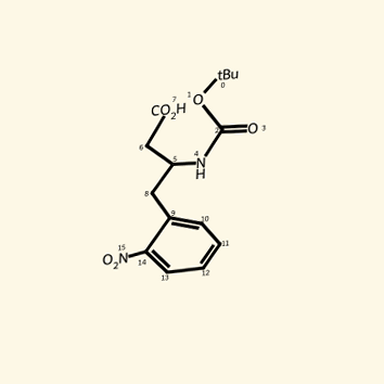 CC(C)(C)OC(=O)NC(CC(=O)O)Cc1ccccc1[N+](=O)[O-]